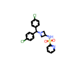 O=S(=O)(NC1CN(C(c2ccc(Cl)cc2)c2ccc(Cl)cc2)C1)c1ccccn1